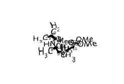 C=C(C)C(=O)NC(C)(C)C[N+](C)(C)CCC[Si](OC)(OC)OC